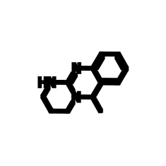 CC1c2ccccc2N=C2NCCCN21